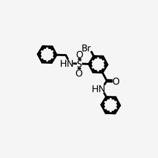 O=C(Nc1ccccc1)c1ccc(Br)c(S(=O)(=O)NCc2ccccc2)c1